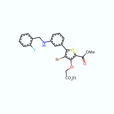 CCOC(=O)COc1c(C(=O)OC)sc(-c2cccc(NCc3ccccc3F)c2)c1Br